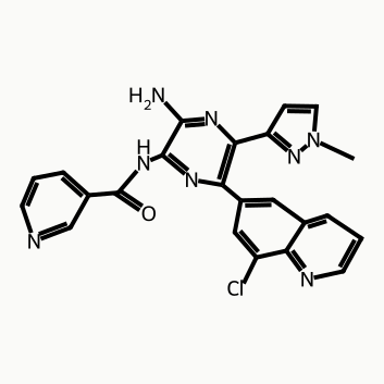 Cn1ccc(-c2nc(N)c(NC(=O)c3cccnc3)nc2-c2cc(Cl)c3ncccc3c2)n1